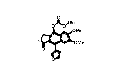 COc1cc2c(OC(=O)OC(C)(C)C)c3c(c(-c4ccoc4)c2cc1OC)C(=O)OC3